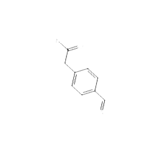 [NH]C(=O)Cc1ccc(C=O)cc1